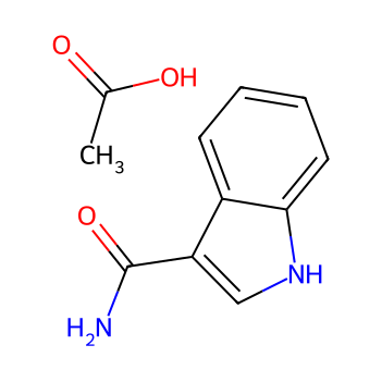 CC(=O)O.NC(=O)c1c[nH]c2ccccc12